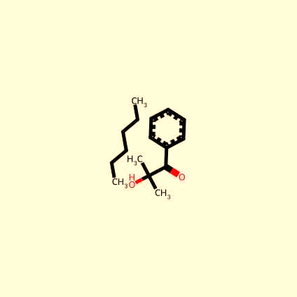 CC(C)(O)C(=O)c1ccccc1.CCCCCC